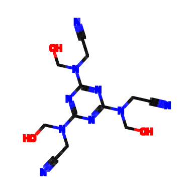 N#CCN(CO)c1nc(N(CO)CC#N)nc(N(CO)CC#N)n1